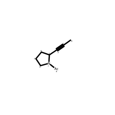 CC#CC1CCCN1C(C)=O